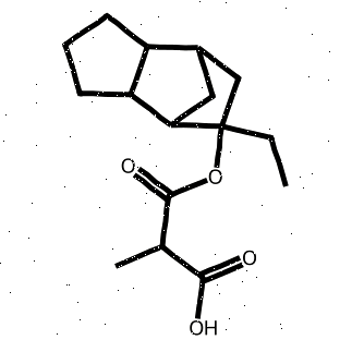 CCC1(OC(=O)C(C)C(=O)O)CC2CC1C1CCCC21